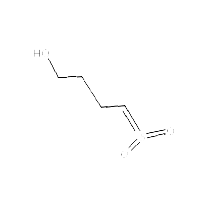 O=S(=O)=CCCCO